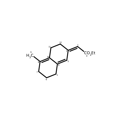 CCOC(=O)C=C1C=C2CCCC(C)=C2CC1